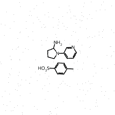 Cc1ccc(S(=O)(=O)O)cc1.NC1CCCN1c1cccnc1